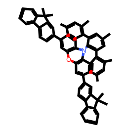 Cc1ccc(-c2cc(C)cc(-c3ccc(C)cc3C)c2N2c3ccc(-c4ccc5c(c4)C(C)(C)c4ccccc4-5)cc3Oc3cc(-c4ccc5c(c4)C(C)(C)c4ccccc4-5)ccc32)c(C)c1